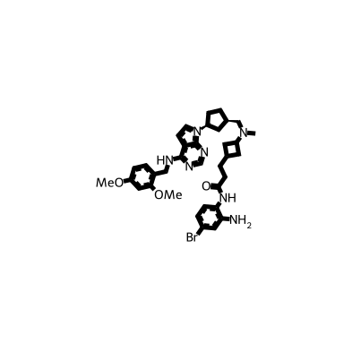 COc1ccc(CNc2ncnc3c2ccn3[C@H]2CC[C@@H](CN(C)C3CC(CCC(=O)Nc4ccc(Br)cc4N)C3)C2)c(OC)c1